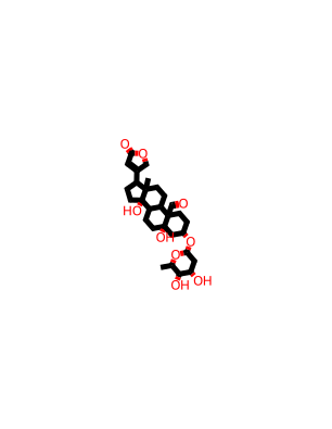 CC1OC(OC2CCC3(C=O)C4CCC5(C)C(C6=CC(=O)OC6)CCC5(O)C4CCC3(O)C2)CC(O)C1O